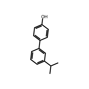 CC(C)c1cccc(-c2ccc(O)cc2)c1